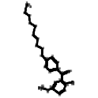 CCCCCCCCCCc1ccc(C(=O)c2cc(OC)ccc2Br)cc1